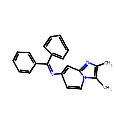 Cc1nc2cc(N=C(c3ccccc3)c3ccccc3)ccn2c1C